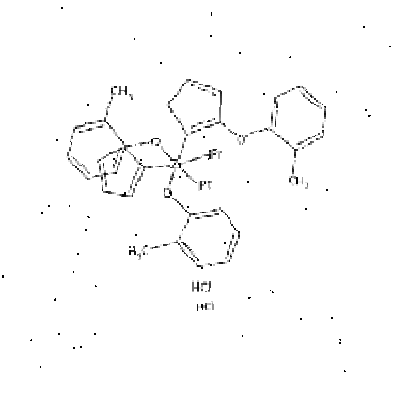 Cc1ccccc1OC1=[C]([Zr]([O]c2ccccc2C)([O]c2ccccc2C)([C]2=CC=CC2)([CH](C)C)[CH](C)C)CC=C1.Cl.Cl